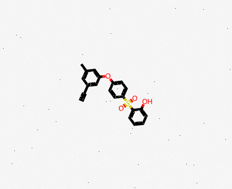 C#Cc1cc(C)cc(Oc2ccc(S(=O)(=O)c3ccccc3O)cc2)c1